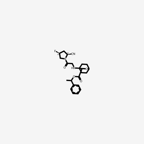 CC(OC(=O)C1CC2CCC1(NCC(=O)N1C[C@@H](F)C[C@H]1C#N)CC2)c1ccccc1